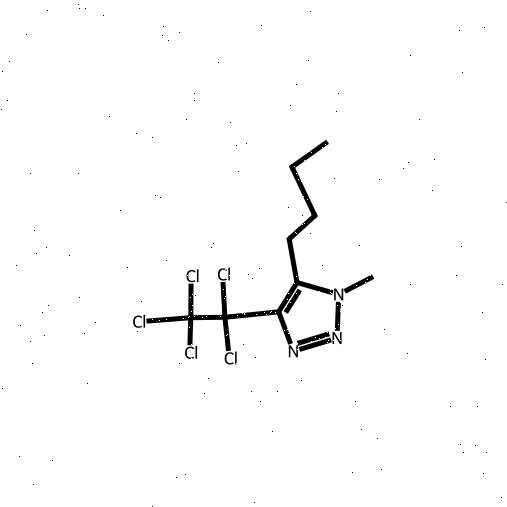 CCCCc1c(C(Cl)(Cl)C(Cl)(Cl)Cl)nnn1C